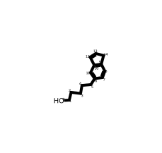 OCCCCCc1ccc2c(c1)C=CC2